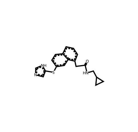 O=C(Cc1cccc2ccc(Sc3cnc[nH]3)cc12)NCC1CC1